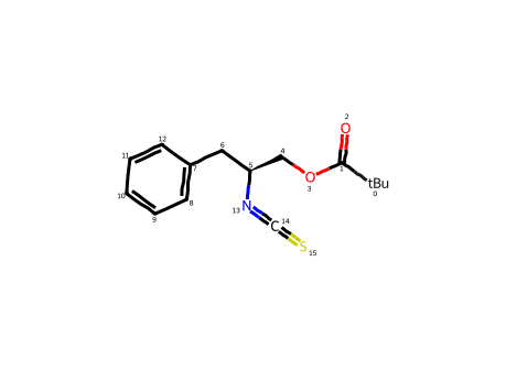 CC(C)(C)C(=O)OC[C@H](Cc1ccccc1)N=C=S